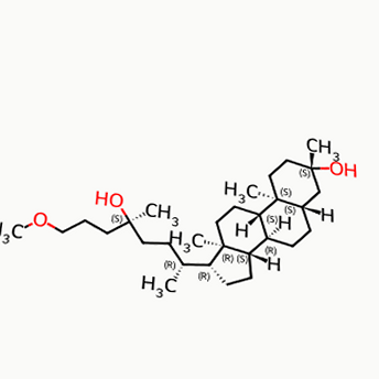 COCCC[C@@](C)(O)CC[C@@H](C)[C@H]1CC[C@H]2[C@@H]3CC[C@H]4C[C@@](C)(O)CC[C@]4(C)[C@H]3CC[C@]12C